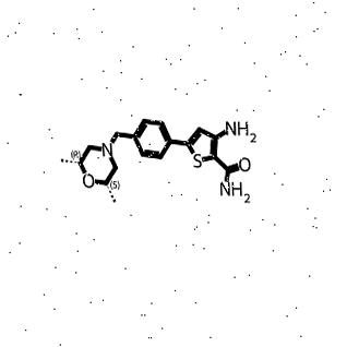 C[C@@H]1CN(Cc2ccc(-c3cc(N)c(C(N)=O)s3)cc2)C[C@H](C)O1